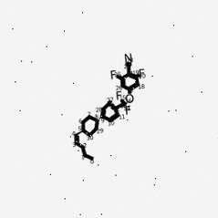 CCC/C=C\[C@H]1CC[C@H](c2ccc(C(F)(F)Oc3cc(F)c(C#N)c(F)c3)cc2)CC1